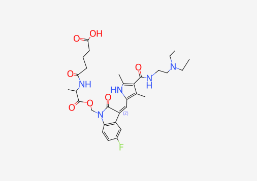 CCN(CC)CCNC(=O)c1c(C)[nH]c(/C=C2\C(=O)N(COC(=O)C(C)NC(=O)CCCC(=O)O)c3ccc(F)cc32)c1C